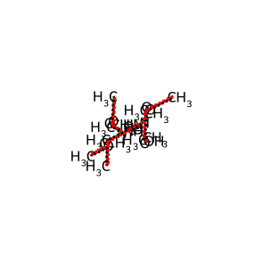 CCCCCCCCCCCOC(=O)C(C)(C)CCCCN(CCCCCCC(C)(C)C(=O)O)CCNC(=O)CCC(=O)NCCN(CCCCCCC(C)(C)C(=O)OC(CCCCCCCC)CCCCCCCC)CCCCC(C)(C)C(=O)OCCCCCCCCCCC